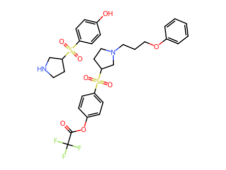 O=C(Oc1ccc(S(=O)(=O)C2CCN(CCCOc3ccccc3)C2)cc1)C(F)(F)F.O=S(=O)(c1ccc(O)cc1)C1CCNC1